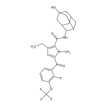 CCc1cc(C(=O)c2cccc(OC(F)(F)F)c2F)n(C)c1C(=O)NC1C2CC3CC1CC(O)(C3)C2